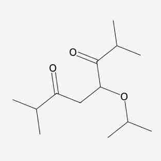 CC(C)OC(CC(=O)C(C)C)C(=O)C(C)C